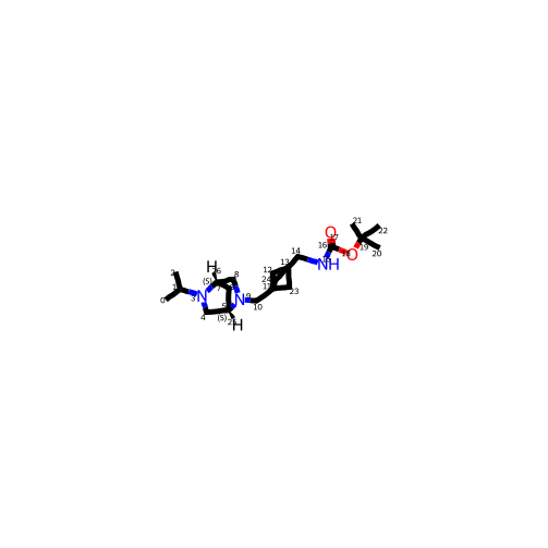 CC(C)N1C[C@@H]2C[C@H]1CN2CC12CC(CNC(=O)OC(C)(C)C)(C1)C2